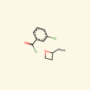 CCCCCC1CCO1.O=C(Cl)c1cccc(Cl)c1